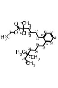 CCOC(=O)C(C)(C)CCCCc1ccccc1CCCCC(C)(C)CC